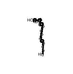 OCCOCCOCCOc1ccc(OCCOCCOCCOc2ccc(-c3cccc(-c4ccc(O)cn4)n3)nc2)cc1